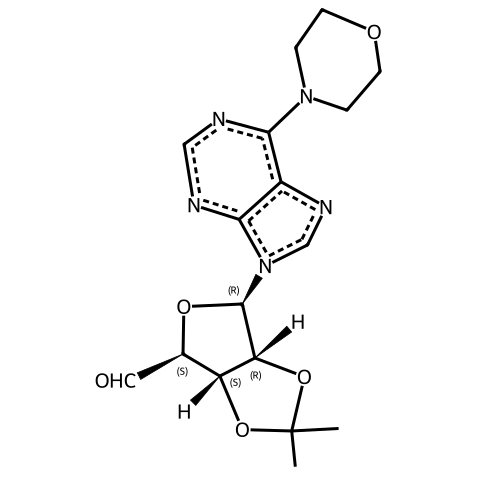 CC1(C)O[C@@H]2[C@H](O1)[C@@H](C=O)O[C@H]2n1cnc2c(N3CCOCC3)ncnc21